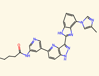 CCCCC(=O)Nc1cncc(-c2ccc3[nH]nc(-c4nc5c(-n6cnc(C)c6)cccc5[nH]4)c3n2)c1